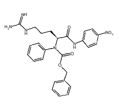 N=C(N)NCCC[C@@H](C(=O)Nc1ccc([N+](=O)[O-])cc1)N(C(=O)OCc1ccccc1)c1ccccc1